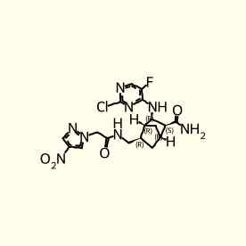 NC(=O)[C@H]1[C@@H]2C[C@@H](CNC(=O)Cn3cc([N+](=O)[O-])cn3)[C@@H](C2)[C@H]1Nc1nc(Cl)ncc1F